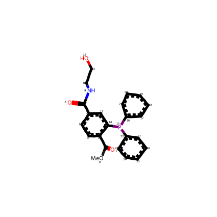 COC(=O)c1ccc(C(=O)NCCO)cc1P(c1ccccc1)c1ccccc1